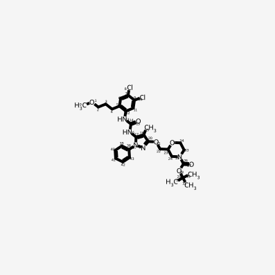 COCCCc1cc(Cl)c(Cl)cc1NC(=O)Nc1c(C)c(OCC2CN(C(=O)OC(C)(C)C)CCO2)nn1-c1ccccc1